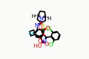 O=C(O)c1cc(F)c2nc(N3[C@@H]4CC[C@H]3C[C@H](OC(=O)c3c(-c5c(Cl)cccc5Cl)noc3C3CCC3)C4)sc2c1